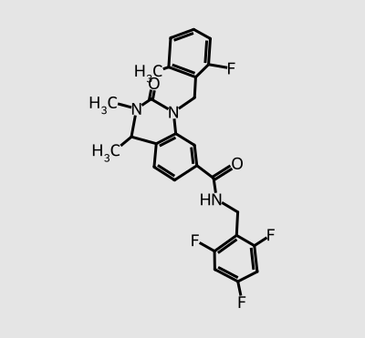 Cc1cccc(F)c1CN1C(=O)N(C)C(C)c2ccc(C(=O)NCc3c(F)cc(F)cc3F)cc21